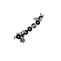 O[C@@]1(C(F)(F)c2ccc(-c3ccc(N4CCN(c5ccc6nc(CC(F)(F)F)[nH]c6c5)CC4)cc3)cn2)Cn2nnnc2-c2cc(F)ccc21